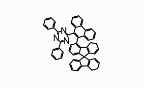 C1=CC2=C(CC1)c1ccccc1C21C2=C(CCC=C2)c2c(-c3c(-c4nc(-c5ccccc5)nc(-c5ccccc5)n4)c4ccccc4c4ccccc34)cccc21